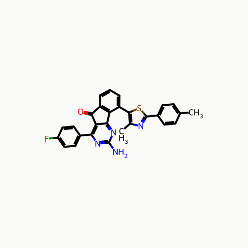 Cc1ccc(-c2nc(C)c(-c3cccc4c3-c3nc(N)nc(-c5ccc(F)cc5)c3C4=O)s2)cc1